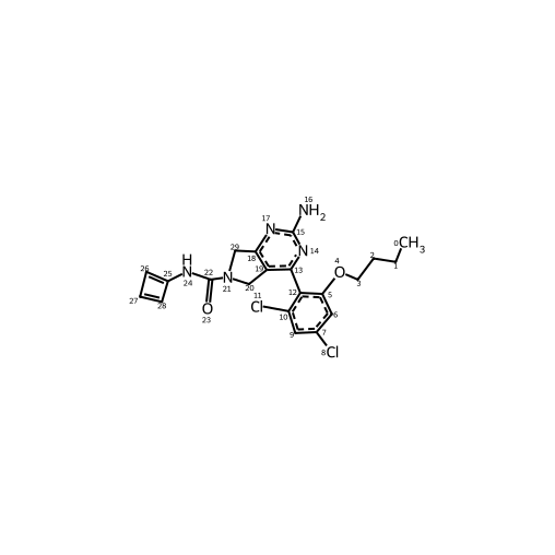 CCCCOc1cc(Cl)cc(Cl)c1-c1nc(N)nc2c1CN(C(=O)NC1=CC=C1)C2